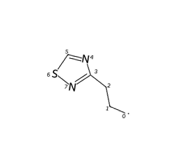 [CH2]CCc1ncsn1